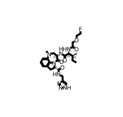 CC[C@H](C)[C@H](NC(=O)COCCF)C(=O)N[C@H]1CN(C)c2cccc3c2N(C1=O)[C@H](C(=O)NCc1c[nH]nn1)C3